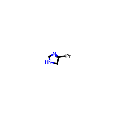 CC(C)C1=NCNC1